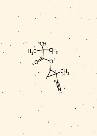 CC(C)(C)C(=O)OC1CC1(C)C#N